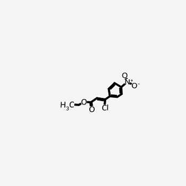 CCOC(=O)C=C(Cl)c1ccc([N+](=O)[O-])cc1